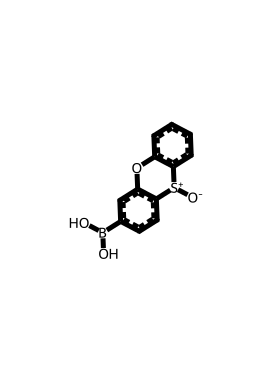 [O-][S+]1c2ccccc2Oc2cc(B(O)O)ccc21